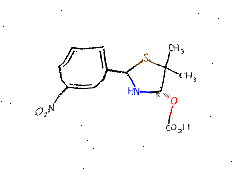 CC1(C)SC(c2cccc([N+](=O)[O-])c2)N[C@H]1OC(=O)O